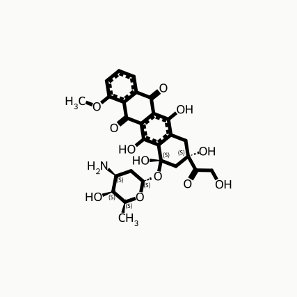 COc1cccc2c1C(=O)c1c(O)c3c(c(O)c1C2=O)C[C@@](O)(C(=O)CO)C[C@]3(O)O[C@H]1C[C@H](N)[C@H](O)[C@H](C)O1